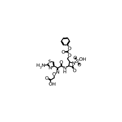 Nc1nc(C(=NOCC(=O)O)C(=O)NC2C(=O)N(S(=O)(=O)O)C2COC(=O)Oc2ccccc2)cs1